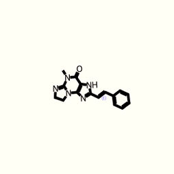 CN1C(=O)c2[nH]c(/C=C/c3ccccc3)nc2N2CCN=C12